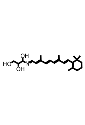 CC1=C(/C=C/C(C)=C/C=C/C(C)=C/C=N/C(O)C(O)CO)C(C)(C)CCC1